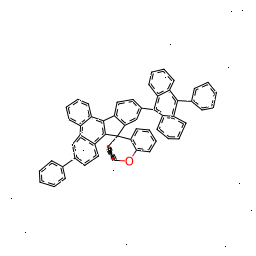 c1ccc(-c2ccc3c4c(c5ccccc5c3c2)-c2ccc(-c3c5ccccc5c(-c5ccccc5)c5ccccc35)cc2C42c3ccccc3Oc3ccccc32)cc1